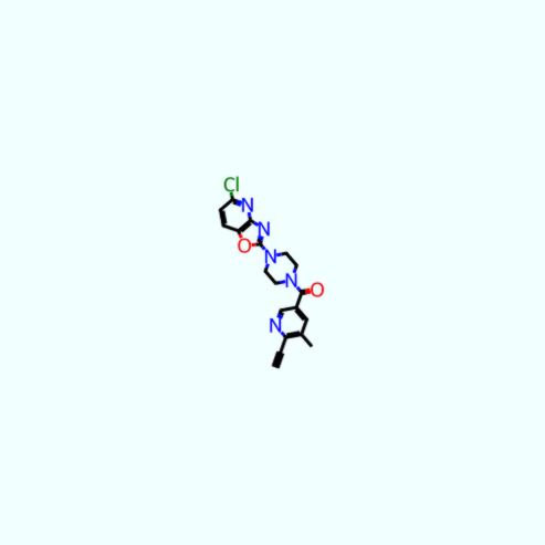 C#Cc1ncc(C(=O)N2CCN(c3nc4nc(Cl)ccc4o3)CC2)cc1C